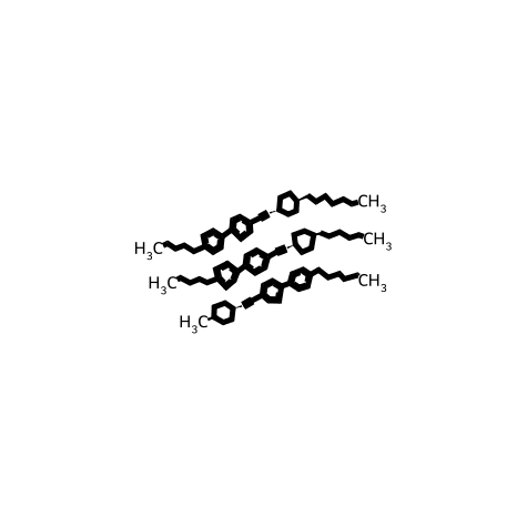 CCCCCCC[C@H]1CC[C@H](C#Cc2ccc(-c3ccc(CCCCC)cc3)cc2)CC1.CCCCCC[C@H]1CC[C@H](C#Cc2ccc(-c3ccc(CCCCC)cc3)cc2)CC1.CCCCCCc1ccc(-c2ccc(C#C[C@H]3CC[C@H](C)CC3)cc2)cc1